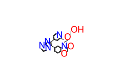 Cc1cc(-c2nc3ncccn3c2-c2ccc3c(c2)N(CCOCCO)C(=O)CO3)ccn1